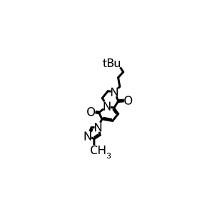 Cc1cn(-c2ccc3n(c2=O)CCN(CCCC(C)(C)C)C3=O)cn1